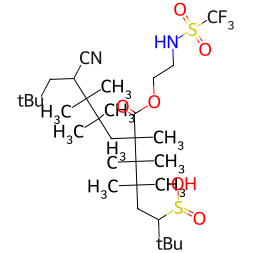 CC(C)(C)CC(C#N)C(C)(C)C(C)(C)CC(C)(C(=O)OCCNS(=O)(=O)C(F)(F)F)C(C)(C)C(C)(C)CC(S(=O)O)C(C)(C)C